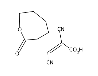 N#CC=C(C#N)C(=O)O.O=C1CCCCCO1